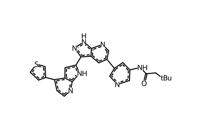 CC(C)(C)CC(=O)Nc1cncc(-c2cnc3[nH]nc(-c4cc5c(-c6ccsc6)ccnc5[nH]4)c3c2)c1